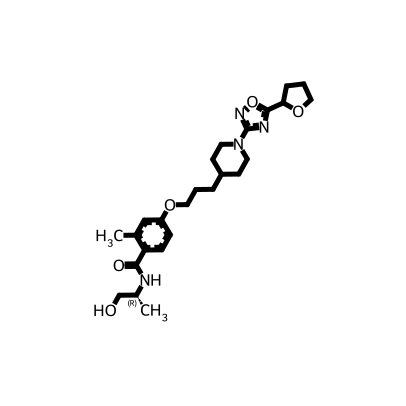 Cc1cc(OCCCC2CCN(c3noc(C4CCCO4)n3)CC2)ccc1C(=O)N[C@H](C)CO